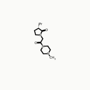 CC(C)[C@H]1CCN(CC(=O)N2CCN(C)CC2)C1=O